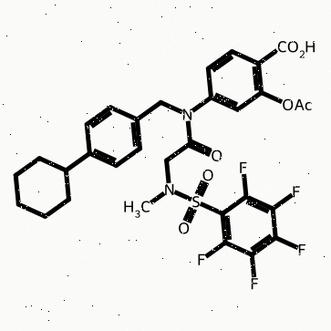 CC(=O)Oc1cc(N(Cc2ccc(C3CCCCC3)cc2)C(=O)CN(C)S(=O)(=O)c2c(F)c(F)c(F)c(F)c2F)ccc1C(=O)O